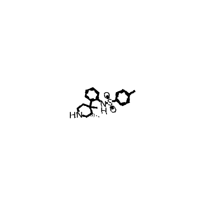 Cc1ccc(S(=O)(=O)Nc2ccccc2C2(C)CCNC[C@H]2C)cc1